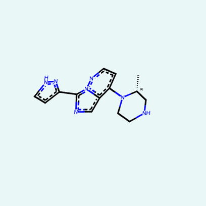 C[C@@H]1CNCCN1c1ccnn2c(-c3cc[nH]n3)ncc12